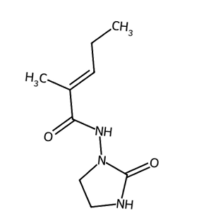 CCC=C(C)C(=O)NN1CCNC1=O